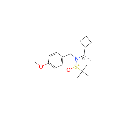 COc1ccc(CN([C@@H](C)C2CCC2)[S+]([O-])C(C)(C)C)cc1